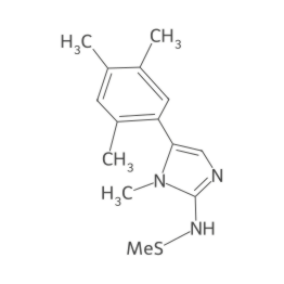 CSNc1ncc(-c2cc(C)c(C)cc2C)n1C